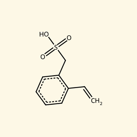 C=Cc1ccccc1CS(=O)(=O)O